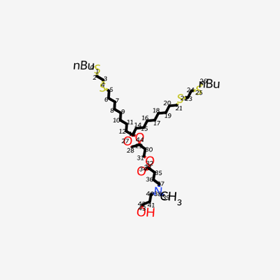 CCCCSCCSCCCCCCCCC1(CCCCCCCCSCCSCCCC)OCC(CCOC(=O)CCCN(C)CCCO)O1